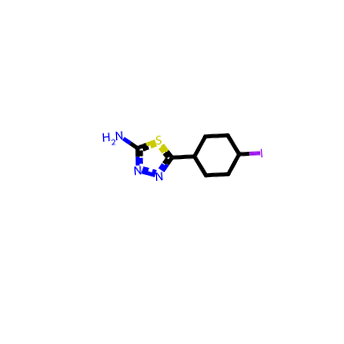 Nc1nnc(C2CCC(I)CC2)s1